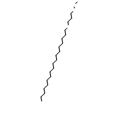 CCCCCCCCCCCCCCCCCCOCCCOOC